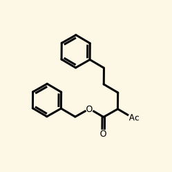 CC(=O)C(CCCc1ccccc1)C(=O)OCc1ccccc1